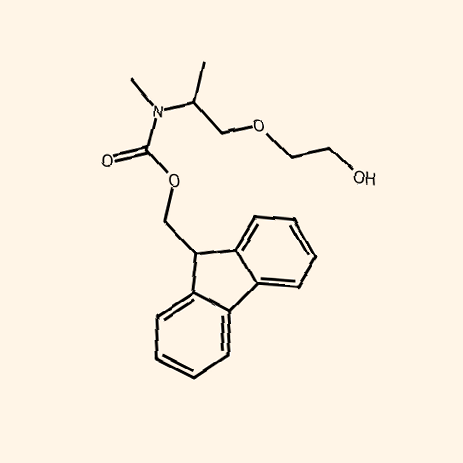 CC(COCCO)N(C)C(=O)OCC1c2ccccc2-c2ccccc21